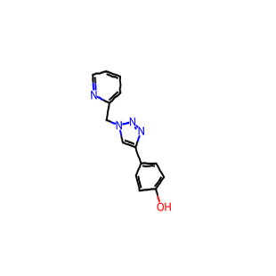 Oc1ccc(-c2cn(Cc3ccccn3)nn2)cc1